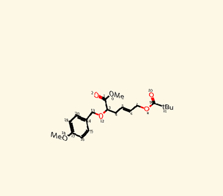 COC(=O)C(CC=CCOC(=O)C(C)(C)C)OCc1ccc(OC)cc1